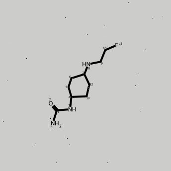 NC(=O)NC1CCC(NCCF)CC1